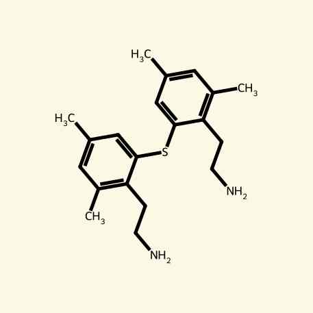 Cc1cc(C)c(CCN)c(Sc2cc(C)cc(C)c2CCN)c1